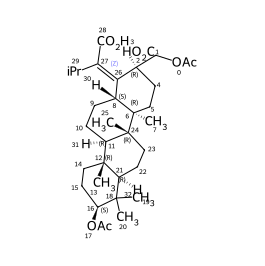 CC(=O)OC[C@@]1(C(=O)O)CC[C@]2(C)[C@H](CC[C@@H]3[C@@]4(C)CC[C@H](OC(C)=O)C(C)(C)[C@@H]4CC[C@]32C)/C1=C(/C(=O)O)C(C)C